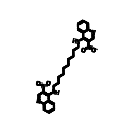 O=[N+]([O-])c1cnc2ccccc2c1NCCCCCCCCCCNc1c([N+](=O)[O-])cnc2ccccc12